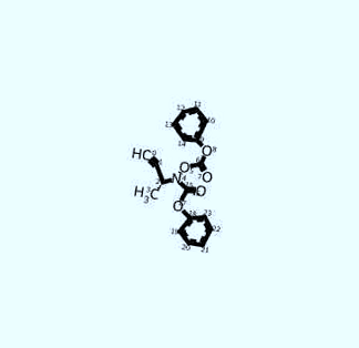 C#C[C@@H](C)N(OC(=O)Oc1ccccc1)C(=O)Oc1ccccc1